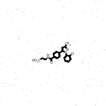 O=C(O)CCNC(=O)c1ccc(-c2cc(C(F)(F)F)nn2-c2ccccc2Cl)cc1